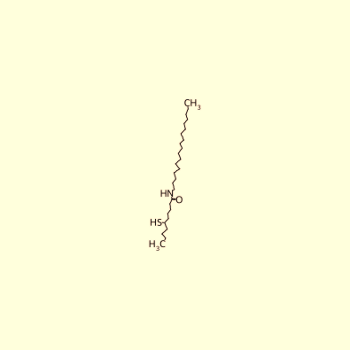 CCCCCCCCCCCCCCCCCCNC(=O)CCCCC(S)CCCC